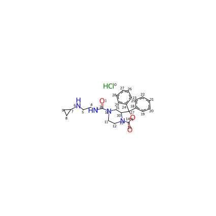 Cl.O=C(NCCNC1CC1)N1CCN2C(=O)OC(c3ccccc3)(c3ccccc3)C2C1